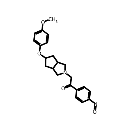 COc1ccc(OC2CC3CN(CC(=O)c4ccc(N=O)cc4)CC3C2)cc1